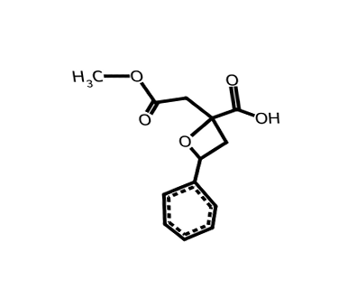 COC(=O)CC1(C(=O)O)CC(c2ccccc2)O1